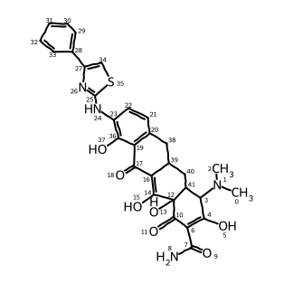 CN(C)C1C(O)=C(C(N)=O)C(=O)C2(O)C(O)=C3C(=O)c4c(ccc(Nc5nc(-c6ccccc6)cs5)c4O)CC3CC12